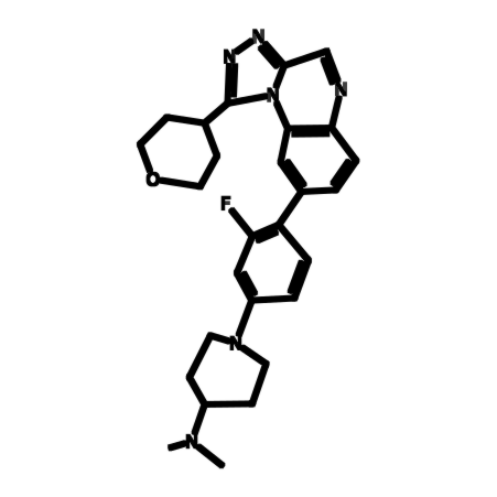 CN(C)C1CCN(c2ccc(-c3ccc4ncc5nnc(C6CCOCC6)n5c4c3)c(F)c2)CC1